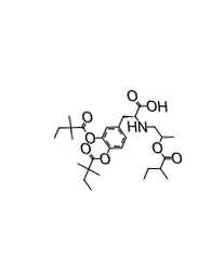 CCC(C)C(=O)OC(C)CN[C@@H](Cc1ccc(OC(=O)C(C)(C)CC)c(OC(=O)C(C)(C)CC)c1)C(=O)O